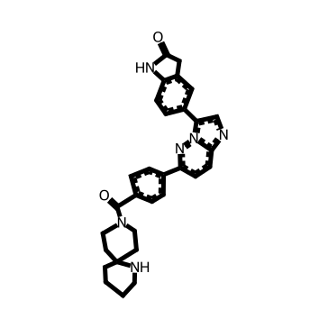 O=C1Cc2cc(-c3cnc4ccc(-c5ccc(C(=O)N6CCC7(CCCCN7)CC6)cc5)nn34)ccc2N1